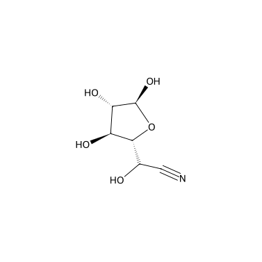 N#CC(O)[C@H]1O[C@H](O)[C@@H](O)[C@@H]1O